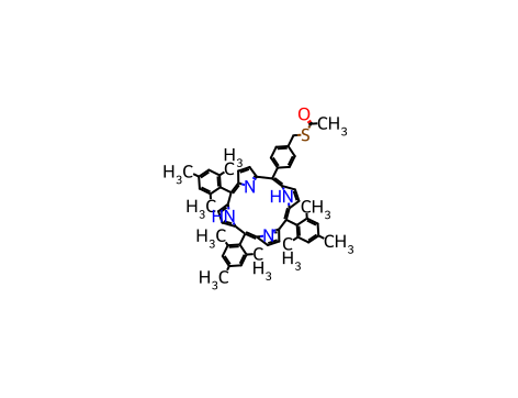 CC(=O)SCc1ccc(-c2c3nc(c(-c4c(C)cc(C)cc4C)c4ccc([nH]4)c(-c4c(C)cc(C)cc4C)c4nc(c(-c5c(C)cc(C)cc5C)c5ccc2[nH]5)C=C4)C=C3)cc1